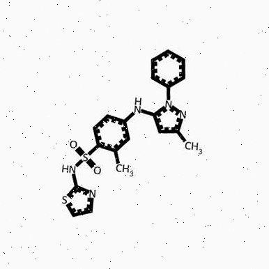 Cc1cc(Nc2ccc(S(=O)(=O)Nc3nccs3)c(C)c2)n(-c2ccccc2)n1